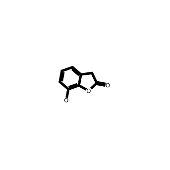 [O]c1cccc2c1OC(=O)C2